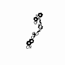 N#Cc1ccc2cc(OCC(=O)OCCN3CCN(CCCN4c5ccccc5Sc5ccc(C(F)(F)F)cc54)CC3)ccc2c1